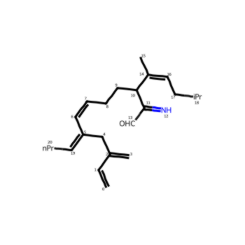 C=CC(=C)CC(/C=C\CCC(C(=N)C=O)/C(C)=C\CC(C)C)=C/CCC